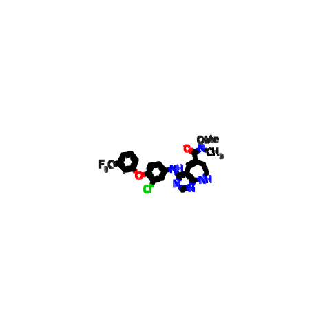 CON(C)C(=O)C1=Cc2c(ncnc2Nc2ccc(Oc3cccc(C(F)(F)F)c3)c(Cl)c2)NCC1